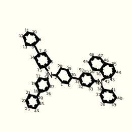 C1=CC(N(c2ccc(-c3ccccc3)cc2)c2ccc(-c3ccccc3)cc2)CC=C1c1ccc(N(c2ccccc2)c2cccc3ccccc23)cc1